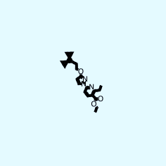 CCOC(=O)c1ccc(-n2ccc(OCCC3C4(CC4)C34CC4)n2)nc1CC